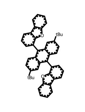 CC(C)(C)c1ccc2c(-c3cccc4c3oc3ccccc34)c3cc(C(C)(C)C)ccc3c(-c3cccc4c3oc3ccccc34)c2c1